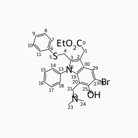 CCOC(=O)Cc1c(CSc2ccccc2)n(-c2ccccc2)c2c(CN(C)C)c(O)c(Br)cc12